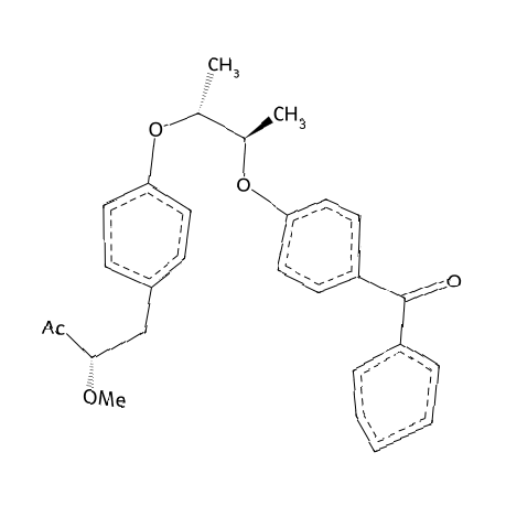 CO[C@@H](Cc1ccc(O[C@H](C)[C@@H](C)Oc2ccc(C(=O)c3ccccc3)cc2)cc1)C(C)=O